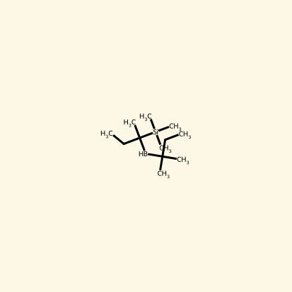 CCC(C)(C)BC(C)(CC)[Si](C)(C)C